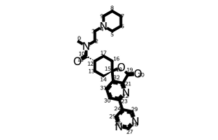 CN(CCN1CCCCC1)C(=O)[C@H]1CC[C@@]2(CC1)OC(=O)c1nc(-c3cncnc3)ccc12